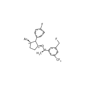 CC(=O)[C@@H]1CC[C@H](O[C@H](C)c2cc(CF)cc(C(F)(F)F)c2)C1c1ccc(F)cc1